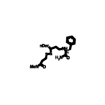 CCCCCCCCCCC(CCN[C@H](Cc1ccccc1)C(N)=O)SSCCC(=O)NC